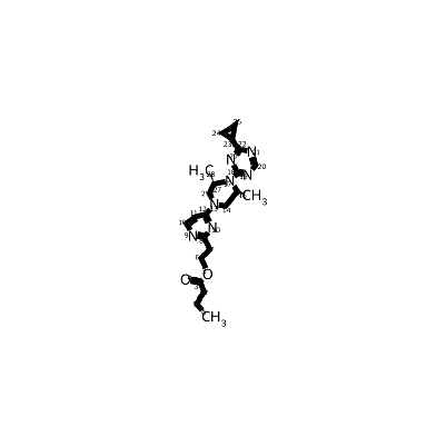 CCCC(=O)OCCc1nccc(N2C[C@@H](C)N(c3ncnc(C4CC4)n3)[C@@H](C)C2)n1